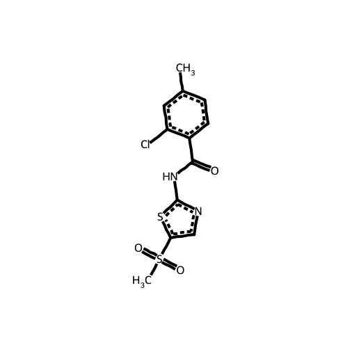 Cc1ccc(C(=O)Nc2ncc(S(C)(=O)=O)s2)c(Cl)c1